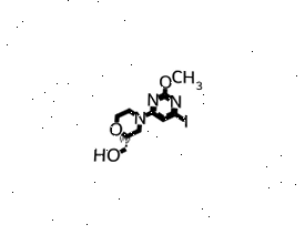 COc1nc(I)cc(N2CCO[C@@H](CO)C2)n1